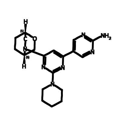 Nc1ncc(-c2cc(N3C[C@@H]4CC[C@H]3CO4)nc(N3CCCCC3)n2)cn1